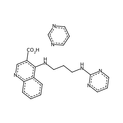 O=C(O)c1cnc2ccccc2c1NCCCNc1ncccn1.c1cncnc1